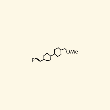 COCC1CCC(C2CCC(/C=C/F)CC2)CC1